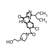 CCC(CC)c1ncc2c(=O)[nH]c3cc(C(=O)N4CCN(CCO)CC4)c(Cl)cc3n12